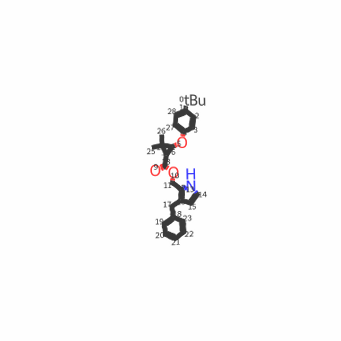 CC(C)(C)c1ccc(OC2C(C(=O)OCc3[nH]ccc3Cc3ccccc3)C2(C)C)cc1